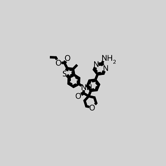 CCOC(=O)c1sc2ccc(NC(=O)C3(c4ccc(-c5cnc(N)nc5)cc4)CCOCC3)cc2c1C